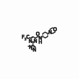 Cn1cncc1-c1nc(C(=O)NC2CCC(N3CCOCC3)CC2)cc(C(F)(F)F)n1